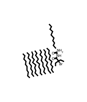 CCC(Br)(CC)C(=O)NC(N)=O.CCCCCCCCCC.CCCCCCCCCC.CCCCCCCCCC.CCCCCCCCCC.CCCCCCCCCC.CCCCCCCCCC.CCCCCCCCCC.CCCCCCCCCC